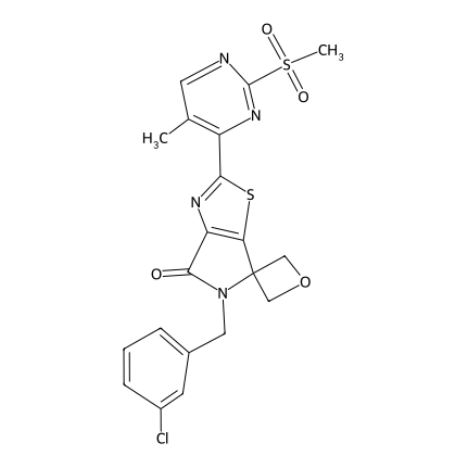 Cc1cnc(S(C)(=O)=O)nc1-c1nc2c(s1)C1(COC1)N(Cc1cccc(Cl)c1)C2=O